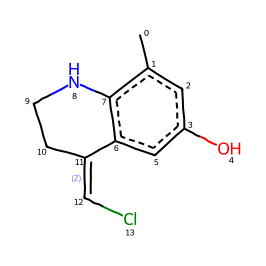 Cc1cc(O)cc2c1NCC/C2=C/Cl